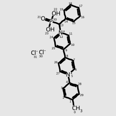 Cc1ccc(-[n+]2ccc(-c3cc[n+](C(c4ccccc4)P(=O)(O)O)cc3)cc2)cc1.[Cl-].[Cl-]